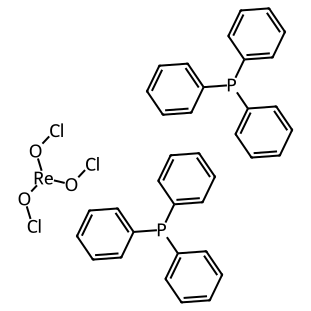 Cl[O][Re]([O]Cl)[O]Cl.c1ccc(P(c2ccccc2)c2ccccc2)cc1.c1ccc(P(c2ccccc2)c2ccccc2)cc1